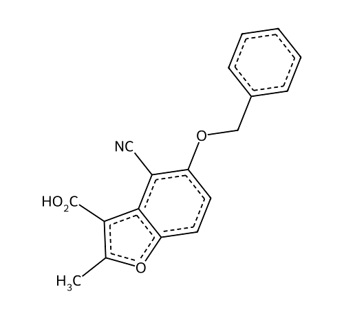 Cc1oc2ccc(OCc3ccccc3)c(C#N)c2c1C(=O)O